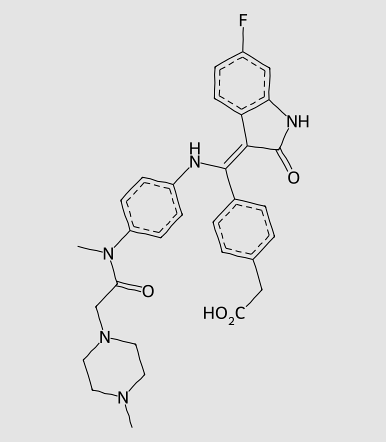 CN1CCN(CC(=O)N(C)c2ccc(NC(=C3C(=O)Nc4cc(F)ccc43)c3ccc(CC(=O)O)cc3)cc2)CC1